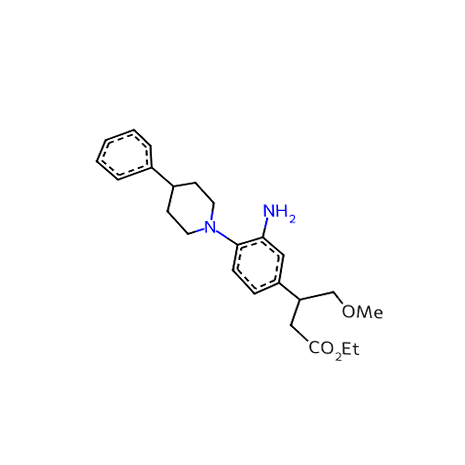 CCOC(=O)CC(COC)c1ccc(N2CCC(c3ccccc3)CC2)c(N)c1